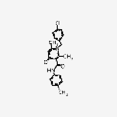 Cc1ccc(NC(=O)c2c(C)n(Cc3ccc(Cl)cc3)c(C)cc2=O)cc1